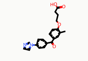 Cc1cc(C(=O)c2ccc(-n3ccnc3)cc2)ccc1OCCCC(=O)O